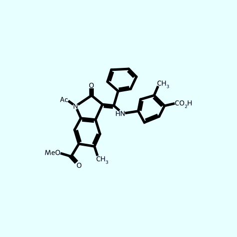 COC(=O)c1cc2c(cc1C)C(=C(Nc1ccc(C(=O)O)c(C)c1)c1ccccc1)C(=O)N2C(C)=O